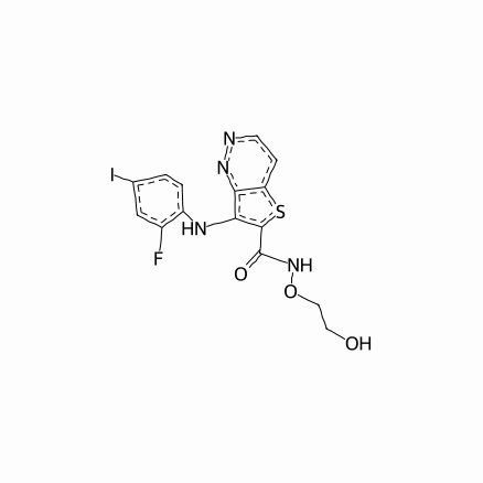 O=C(NOCCO)c1sc2ccnnc2c1Nc1ccc(I)cc1F